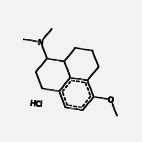 COc1ccc2c3c1CCCC3C(N(C)C)CC2.Cl